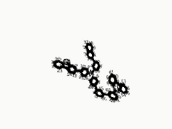 c1cc(-c2ccc(N(c3ccc(-c4ccc5c(c4)oc4ccccc45)cc3)c3cccc(-c4ccc5ccccc5c4)c3)cc2)cc(-c2cccc(-n3c4ccccc4c4ccccc43)c2)c1